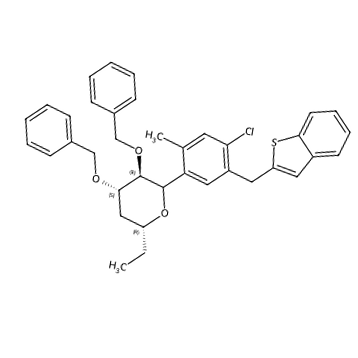 CC[C@@H]1C[C@H](OCc2ccccc2)[C@@H](OCc2ccccc2)C(c2cc(Cc3cc4ccccc4s3)c(Cl)cc2C)O1